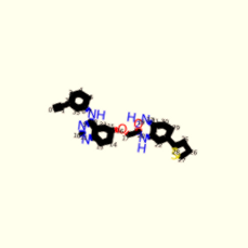 C#Cc1cccc(Nc2ncnc3ccc(OCC(=O)Nc4cc(C5=CCCS5)ccc4N)cc23)c1